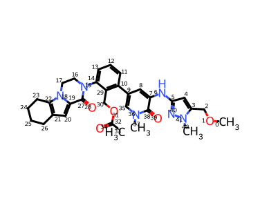 COCc1cc(Nc2cc(-c3cccc(N4CCn5c(cc6c5CCCC6)C4=O)c3COC(C)=O)cn(C)c2=O)nn1C